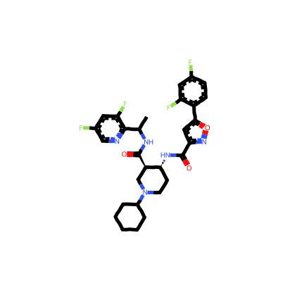 CC(NC(=O)[C@@H]1CN(C2CCCCC2)CC[C@H]1NC(=O)c1cc(-c2ccc(F)cc2F)on1)c1ncc(F)cc1F